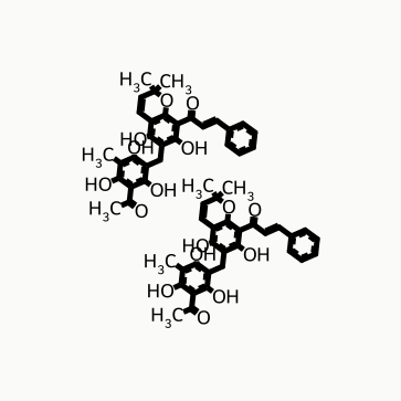 CC(=O)c1c(O)c(C)c(O)c(Cc2c(O)c3c(c(C(=O)/C=C/c4ccccc4)c2O)OC(C)(C)C=C3)c1O.CC(=O)c1c(O)c(C)c(O)c(Cc2c(O)c3c(c(C(=O)/C=C/c4ccccc4)c2O)OC(C)(C)C=C3)c1O